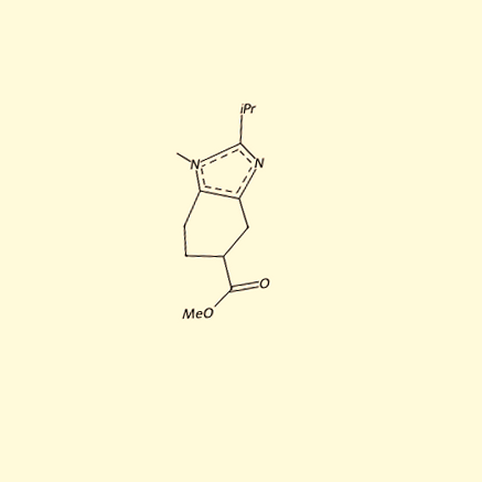 COC(=O)C1CCc2c(nc(C(C)C)n2C)C1